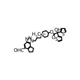 C[N+]1(CCCn2nnc3cc(C=O)c4c(c32)CCC4)CCC(OC(=O)C(O)(c2cccs2)c2cccs2)CC1